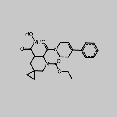 CCOC(=O)N1CC2(CC2)CC(C(=O)NO)C1C(=O)N1CC=C(c2ccccc2)CC1